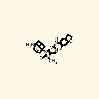 Cn1c(=O)n(C23CC4CC5(N)CC(C2)C53C4)c2nc(Nc3cc4c(cc3F)OCC4)ncc21